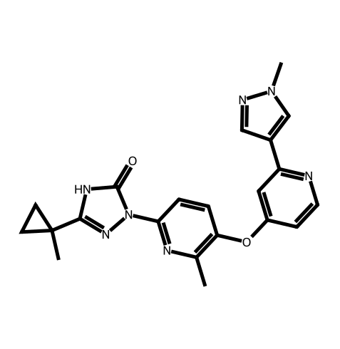 Cc1nc(-n2nc(C3(C)CC3)[nH]c2=O)ccc1Oc1ccnc(-c2cnn(C)c2)c1